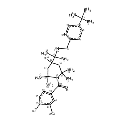 BC(B)(B)c1ccc(CNC(B)(B)C2(F)CC(B)(B)N(C(=O)c3ccc(F)c(Cl)c3)C(B)(B)C2)nc1